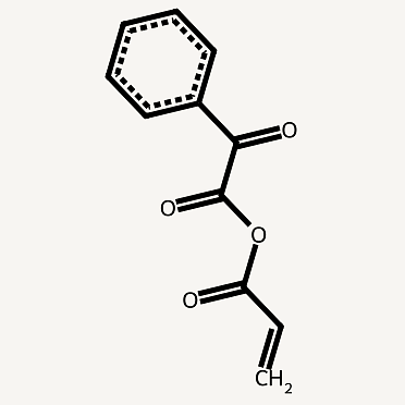 C=CC(=O)OC(=O)C(=O)c1ccccc1